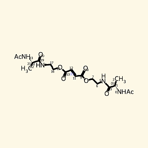 CC(=O)N[C@@H](C)C(=O)NCCOC(=O)/C=C/C(=O)OCCNC(=O)[C@H](C)NC(C)=O